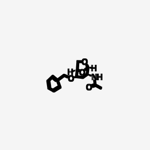 CC(=O)N[C@@H]1C[C@H](OCc2ccccc2)[C@H]2CO[C@@H]1O2